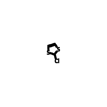 ClC1SC=CS1